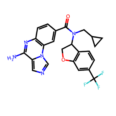 Nc1nc2ccc(C(=O)N(CC3CC3)C3COc4cc(C(F)(F)F)ccc43)cc2n2cncc12